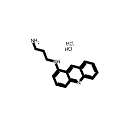 Cl.Cl.NCCCNc1cccc2nc3ccccc3cc12